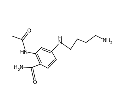 CC(=O)Nc1cc(NCCCCN)ccc1C(N)=O